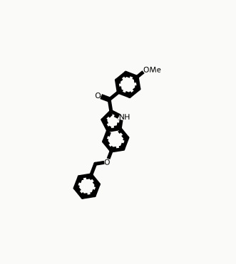 COc1ccc(C(=O)c2cc3cc(OCc4ccccc4)ccc3[nH]2)cc1